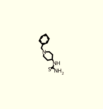 NC(=S)NC1CCN(Cc2ccccc2)CC1